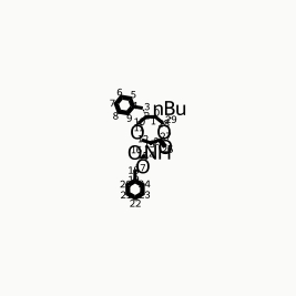 CCCC[C@@H]1[C@@H](Cc2ccccc2)COC[C@H](NC(=O)OCc2ccccc2)C(=O)O[C@H]1C